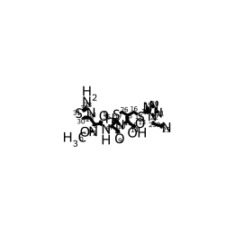 CON=C(C(=O)NC1C(=O)N2C(C(=O)O)=C(CSc3nnnn3CC#N)CS[C@@H]12)c1csc(N)n1